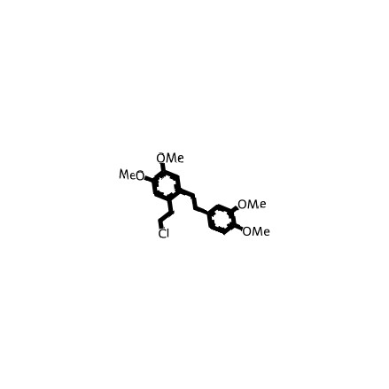 COc1ccc(CCc2cc(OC)c(OC)cc2CCCl)cc1OC